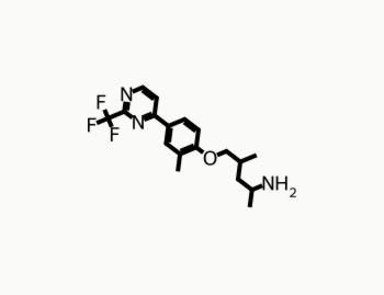 Cc1cc(-c2ccnc(C(F)(F)F)n2)ccc1OCC(C)CC(C)N